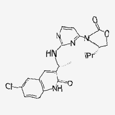 CC(C)[C@H]1COC(=O)N1c1ccnc(N[C@H](C)c2cc3cc(Cl)ccc3[nH]c2=O)n1